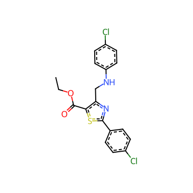 CCOC(=O)c1sc(-c2ccc(Cl)cc2)nc1CNc1ccc(Cl)cc1